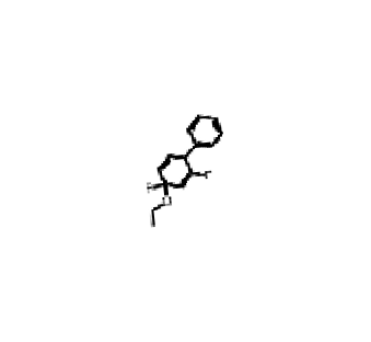 CCOC1(F)C=CC(c2ccccc2)C(F)=C1